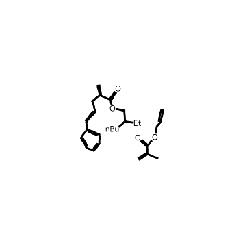 C=C(CC=Cc1ccccc1)C(=O)OCC(CC)CCCC.C=CCOC(=O)C(=C)C